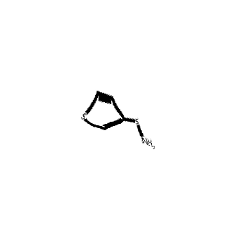 NSc1ccsc1